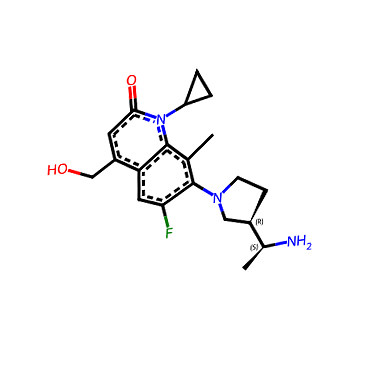 Cc1c(N2CC[C@@H]([C@H](C)N)C2)c(F)cc2c(CO)cc(=O)n(C3CC3)c12